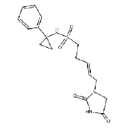 O=C1CN(C/C=C/CCS(=O)(=O)NC2(c3ccccc3)CC2)C(=O)N1